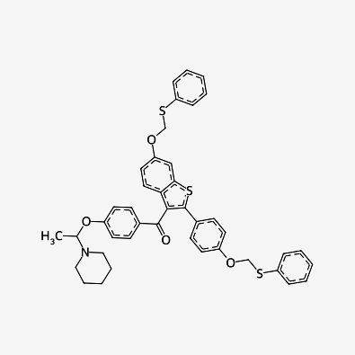 CC(Oc1ccc(C(=O)c2c(-c3ccc(OCSc4ccccc4)cc3)sc3cc(OCSc4ccccc4)ccc23)cc1)N1CCCCC1